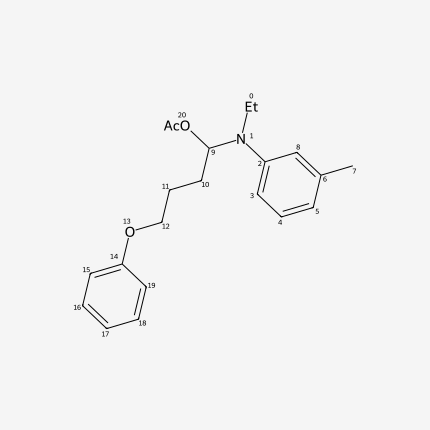 CCN(c1cccc(C)c1)C(CCCOc1ccccc1)OC(C)=O